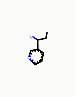 C[CH]C(N)c1cccnc1